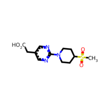 CS(=O)(=O)C1CCN(c2ncc(CC(=O)O)cn2)CC1